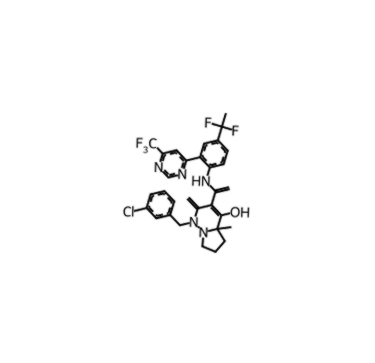 C=C(Nc1ccc(C(C)(F)F)cc1-c1cc(C(F)(F)F)ncn1)C1=C(O)C2(C)CCCN2N(Cc2cccc(Cl)c2)C1=C